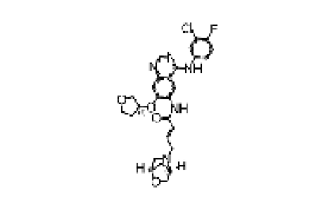 O=C(C=CCN1C[C@H]2C[C@@H]1CO2)Nc1cc2c(Nc3ccc(F)c(Cl)c3)ncnc2cc1O[C@H]1CCOC1